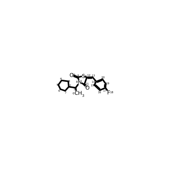 CC(C1CCCCC1)N1C(=O)SC(=Cc2ccc(F)cc2)C1=O